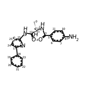 C[Si@H](NC(=O)c1ccc(N)cc1)C(=O)Nc1nc(-c2ccccc2)cs1